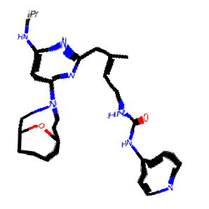 CC(=CCNC(=O)Nc1ccncc1)Cc1nc(NC(C)C)cc(N2CC3CCC(C2)O3)n1